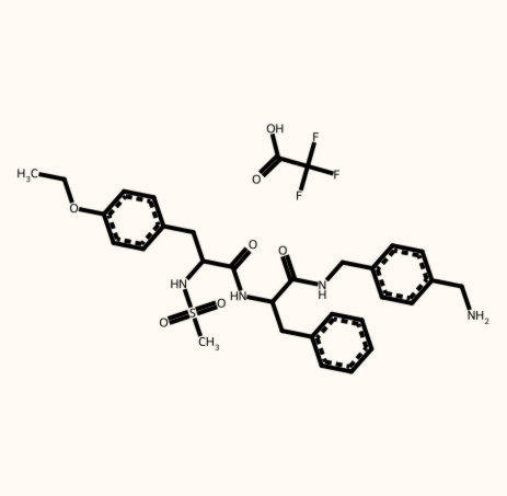 CCOc1ccc(CC(NS(C)(=O)=O)C(=O)NC(Cc2ccccc2)C(=O)NCc2ccc(CN)cc2)cc1.O=C(O)C(F)(F)F